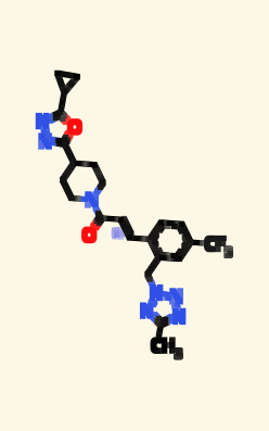 Cc1nnn(Cc2cc(C(F)(F)F)ccc2/C=C/C(=O)N2CCC(c3nnc(C4CC4)o3)CC2)n1